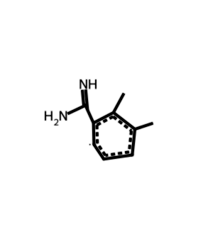 Cc1cc[c]c(C(=N)N)c1C